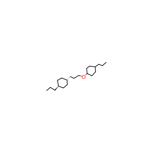 CCCC1CCC(OCCC[C@H]2CC[C@H](CCC)CC2)CC1